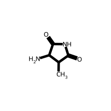 CC1C(=O)NC(=O)C1N